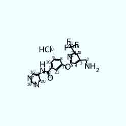 Cl.NCc1cc(Oc2cccc(C(=O)Nc3cncnc3)c2)nc(C(F)(F)F)c1